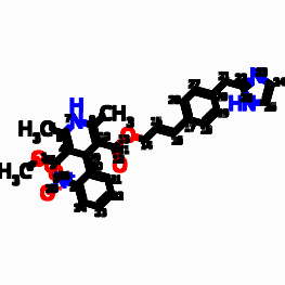 COC(=O)C1=C(C)NC(C)=C(C(=O)OCC=Cc2ccc(Cc3ncc[nH]3)cc2)C1c1ccccc1[N+](=O)[O-]